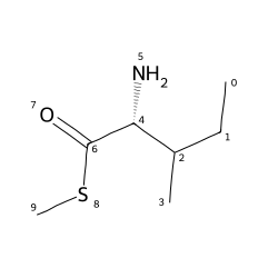 CCC(C)[C@@H](N)C(=O)SC